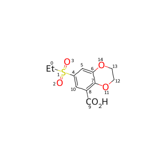 CCS(=O)(=O)c1cc2c(c(C(=O)O)c1)OCCO2